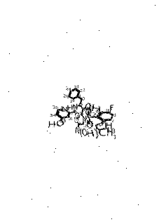 Cc1ccc(F)cc1S(=O)(=O)N(CC(=O)N(C)O)CC(O)C(Cc1ccccc1)NC(=O)c1cc(O)ccn1